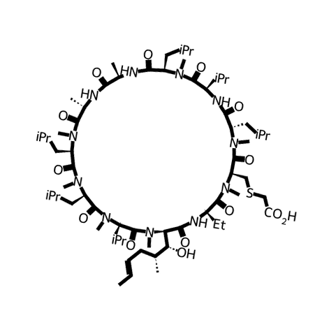 C/C=C/C[C@@H](C)[C@@H](O)[C@@H]1C(=O)N[C@H](CC)C(=O)N(C)[C@H](CSCC(=O)O)C(=O)N(C)[C@@H](CC(C)C)C(=O)N[C@H](C(C)C)C(=O)N(C)[C@H](CC(C)C)C(=O)N[C@H](C)C(=O)N[C@@H](C)C(=O)N(C)[C@H](CC(C)C)C(=O)N(C)[C@H](CC(C)C)C(=O)N(C)[C@H](C(C)C)C(=O)N1C